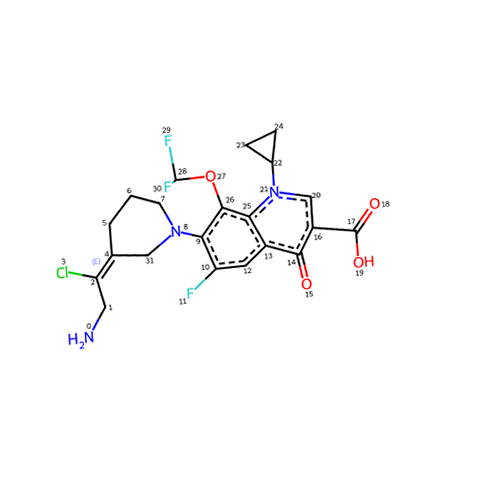 NC/C(Cl)=C1/CCCN(c2c(F)cc3c(=O)c(C(=O)O)cn(C4CC4)c3c2OC(F)F)C1